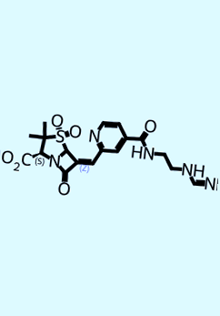 CC1(C)[C@H](C(=O)O)N2C(=O)/C(=C/c3cc(C(=O)NCCNC=N)ccn3)C2S1(=O)=O